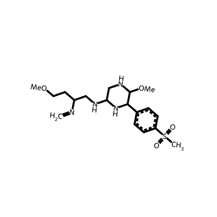 C=NC(CCOC)CNC1CNC(OC)C(c2ccc(S(C)(=O)=O)cc2)N1